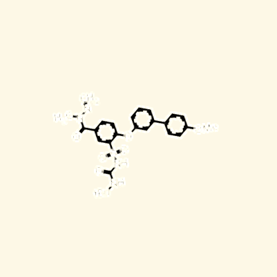 C=NN(C)C(=O)c1ccc(Oc2cccc(-c3ccc(OC)cc3)c2)c(S(=O)(=O)NC(=O)NC(C)(C)C)c1